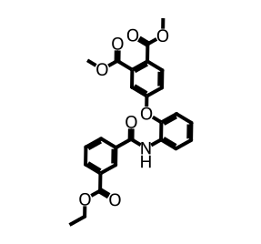 CCOC(=O)c1cccc(C(=O)Nc2ccccc2Oc2ccc(C(=O)OC)c(C(=O)OC)c2)c1